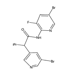 CC(C)C(C(=O)Nc1ncc(Br)cc1F)c1cncc(Br)c1